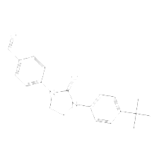 CC(C)(C)c1ccc(N2CCN(c3ccc(C=O)cc3)C2=O)cc1